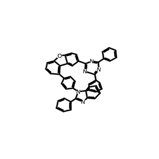 c1ccc(-c2nc(-c3ccccc3)nc(-c3ccc4oc5cccc(-c6ccc(-n7c(-c8ccccc8)nc8ccccc87)cc6)c5c4c3)n2)cc1